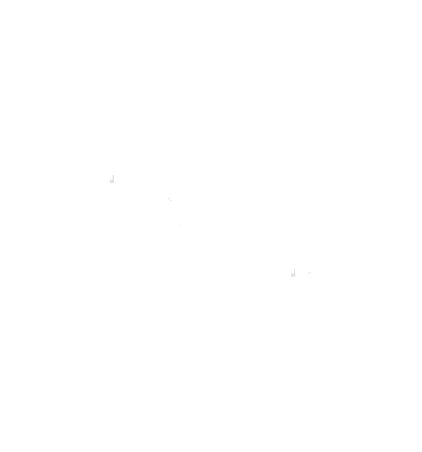 CCCCCCCCCCCCC(O)COC(=O)CCCCCCCCCCC